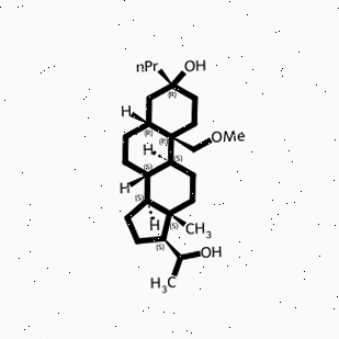 CCC[C@@]1(O)CC[C@@]2(COC)[C@H](CC[C@H]3[C@@H]4CC[C@H](C(C)O)[C@@]4(C)CC[C@@H]32)C1